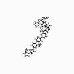 COC(=O)N[C@@H](C(=O)N1[C@@H]2CC[C@@H](C2)[C@H]1c1nc2ccc(-c3ccc4c(c3)C(F)(F)c3cc(-c5cnc([C@@H]6CCCN6)[nH]5)ccc3-4)cc2[nH]1)c1ccccc1